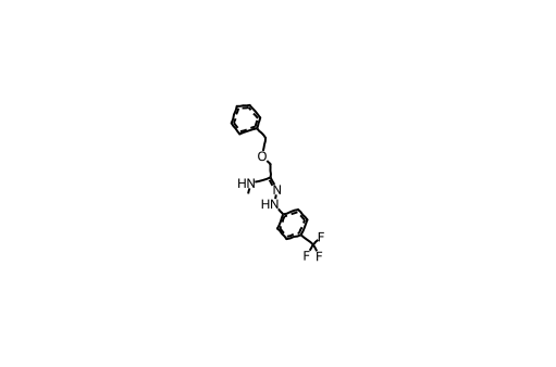 CN/C(COCc1ccccc1)=N\Nc1ccc(C(F)(F)F)cc1